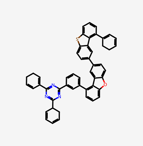 C1=CCCC(c2cccc3sc4ccc(-c5ccc6oc7cccc(-c8cccc(-c9nc(C%10=CCCC=C%10)nc(C%10C=CC=CC%10)n9)c8)c7c6c5)cc4c23)=C1